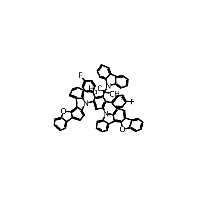 CC(C)(c1c(-c2ccc(F)cc2)c(-n2c3ccccc3c3c4oc5ccccc5c4ccc32)cc(-n2c3ccccc3c3c4oc5ccccc5c4ccc32)c1-c1ccc(F)cc1)n1c2ccccc2c2ccccc21